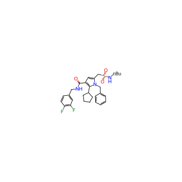 CCCCNS(=O)(=O)Cc1cc(C(=O)NCc2ccc(F)c(F)c2)c(C2CCCC2)n1Cc1ccccc1